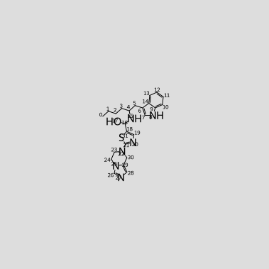 CCCCC(Cc1c[nH]c2ccccc12)NC(O)c1cnc(N2CCn3cncc3C2)s1